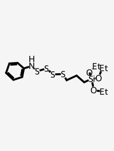 CCO[Si](CCCSSSSNc1ccccc1)(OCC)OCC